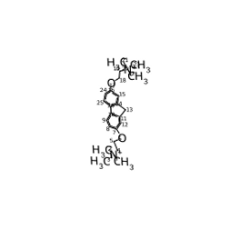 C[N+](C)(C)CCOc1ccc2c(c1)Cc1cc(OCC[N+](C)(C)C)ccc1-2